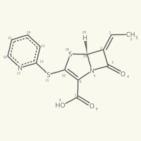 C/C=C1\C(=O)N2C(C(=O)O)=C(Sc3ccccn3)S[C@H]12